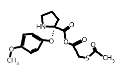 COc1ccc(O[C@@]2(C(=O)OC(=O)CSC(C)=O)CCCN2)cc1